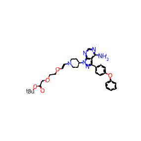 CC(C)(C)OC(=O)COCCO/C=C/N1CCC(n2nc(-c3ccc(Oc4ccccc4)cc3)c3c(N)ncnc32)CC1